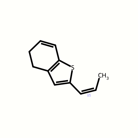 C/C=C\c1cc2c(s1)C=CCC2